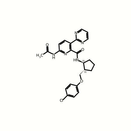 CC(=O)Nc1ccc(-c2ncccn2)c(C(=O)N[C@H]2CCC[C@@H]2COc2ccc(Cl)cc2)n1